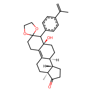 C=C(C)c1ccc(C2C3(CCC4=C5CC[C@]6(C)C(=O)CC[C@H]6[C@@H]5CC[C@]42O)OCCO3)cc1